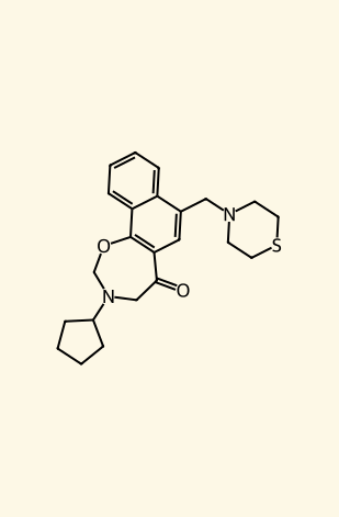 O=C1CN(C2CCCC2)COc2c1cc(CN1CCSCC1)c1ccccc21